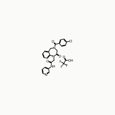 O=C(CN1C(=O)CN(C(=O)c2ccc(Cl)cc2)Cc2ccccc21)Nc1cccnc1.O=C(O)C(F)(F)F